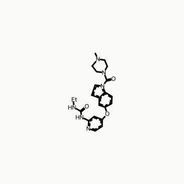 CCNC(=O)Nc1cc(Oc2ccc3c(ccn3C(=O)N3CCN(C)CC3)c2)ccn1